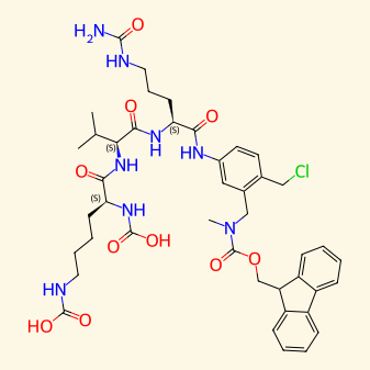 CC(C)[C@H](NC(=O)[C@H](CCCCNC(=O)O)NC(=O)O)C(=O)N[C@@H](CCCNC(N)=O)C(=O)Nc1ccc(CCl)c(CN(C)C(=O)OCC2c3ccccc3-c3ccccc32)c1